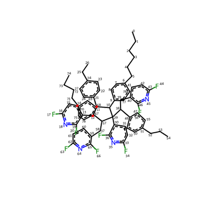 CCCCCCc1ccc(C(C(Cc2ccc(F)nc2F)c2ccc(CC)cc2)C(c2ccc(F)nc2F)(C(Cc2ccc(F)nc2F)c2ccc(CCC)cc2)C(Cc2ccc(F)nc2F)c2ccc(CCCC)cc2)cc1